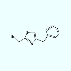 BrCc1nc(Cc2ccccc2)cs1